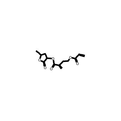 C=CC(=O)OCCC(=C)C(=O)OC1CC(C)OC1=O